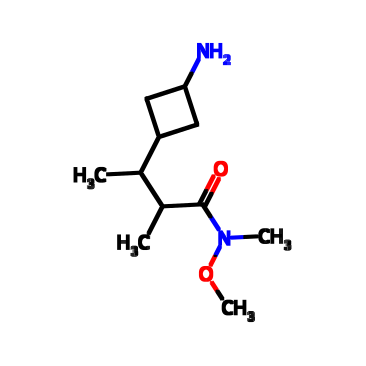 CON(C)C(=O)C(C)C(C)C1CC(N)C1